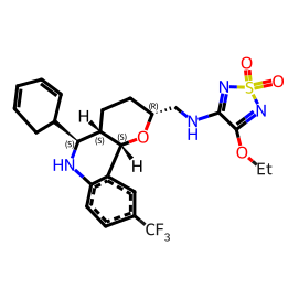 CCOC1=NS(=O)(=O)N=C1NC[C@H]1CC[C@@H]2[C@H](O1)c1cc(C(F)(F)F)ccc1N[C@H]2C1C=CC=CC1